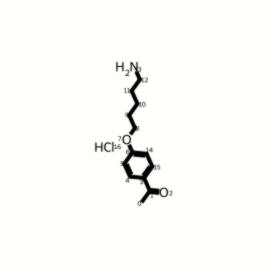 CC(=O)c1ccc(OCCCCCN)cc1.Cl